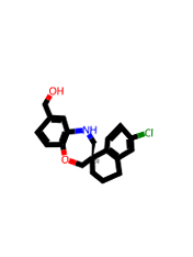 OCc1ccc2c(c1)NC[C@@]1(CCCc3cc(Cl)ccc31)CO2